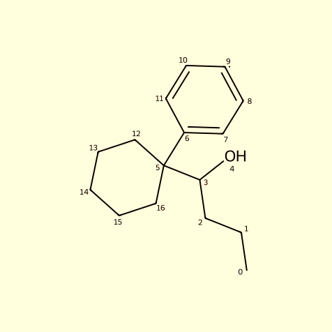 CCCC(O)C1(c2cc[c]cc2)CCCCC1